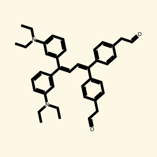 CCN(CC)c1cccc(C(=CC=C(c2ccc(CC=O)cc2)c2ccc(CC=O)cc2)c2cccc(N(CC)CC)c2)c1